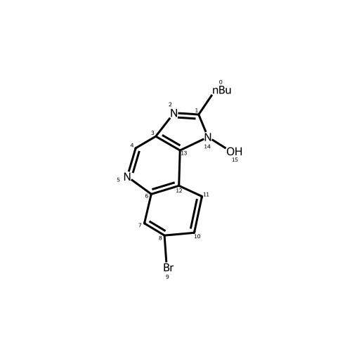 CCCCc1nc2cnc3cc(Br)ccc3c2n1O